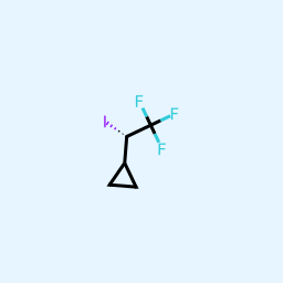 FC(F)(F)[C@@H](I)C1CC1